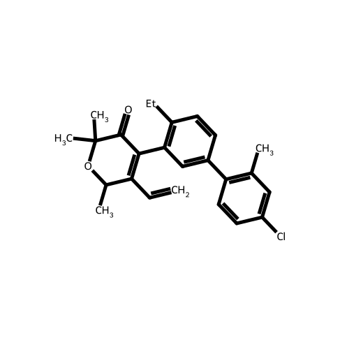 C=CC1=C(c2cc(-c3ccc(Cl)cc3C)ccc2CC)C(=O)C(C)(C)OC1C